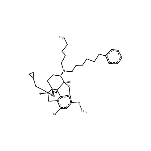 CCCCCN(CCCCCCc1ccccc1)[C@@H]1CC[C@H]2[C@H]3Cc4c(O)cc(OC)c5c4[C@@]2(CCN3CC2CC2)[C@H]1O5